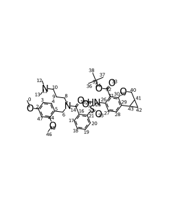 COc1ccc(CN(CCCN(C)C)C(=O)c2ccccc2S(=O)(=O)Nc2ccc3c(c2C(=O)OC(C)(C)C)OCC2CC32)c(OC)c1